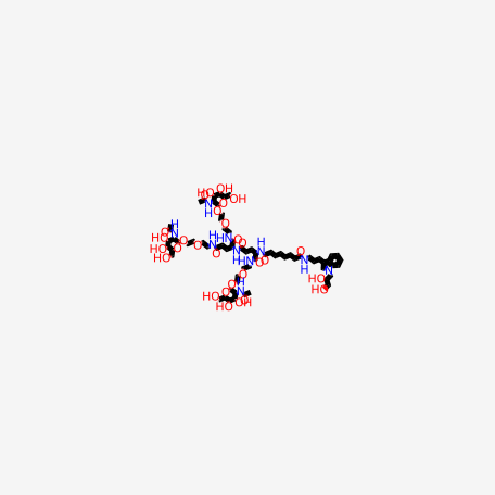 CC(=O)NC1C(OCCOCCNC(=O)CCC(NC(=O)CCC(NC(=O)CCCCCCC(=O)NCCCc2cn(C[C@@H](O)CO)c3ccccc23)C(=O)NCCOCCOC2OC(CO)C(O)C(O)C2NC(C)=O)C(=O)NCCOCCOC2OC(CO)C(O)C(O)C2NC(C)=O)OC(CO)C(O)C1O